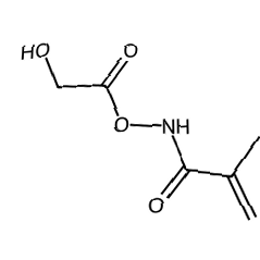 C=C(C)C(=O)NOC(=O)CO